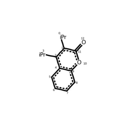 CC(C)c1c(C(C)C)c2ccccc2oc1=O